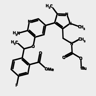 COC(=O)c1cc(F)ccc1C(C)Oc1cc(-c2c(C)nn(C)c2CN(C)C(=O)OC(C)(C)C)cnc1N